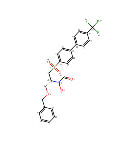 O=CN(O)[C@H](COCc1ccccc1)CS(=O)(=O)c1ccc(-c2ccc(C(F)(F)F)cc2)cc1